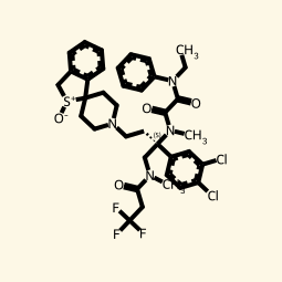 CCN(C(=O)C(=O)N(C)[C@](CCN1CCC2(CC1)c1ccccc1C[S+]2[O-])(CN(C)C(=O)CC(F)(F)F)c1ccc(Cl)c(Cl)c1)c1ccccc1